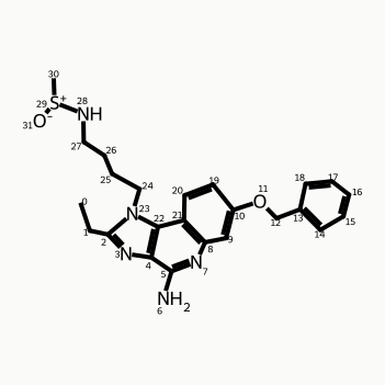 CCc1nc2c(N)nc3cc(OCc4ccccc4)ccc3c2n1CCCCN[S+](C)[O-]